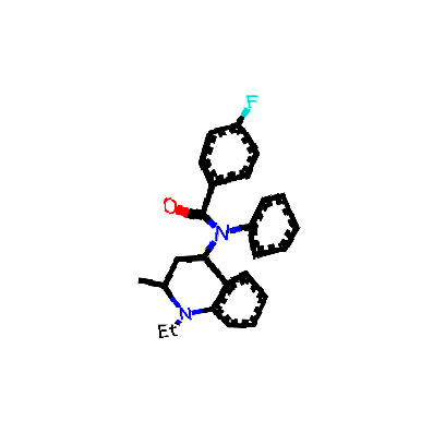 CCN1c2ccccc2C(N(C(=O)c2ccc(F)cc2)c2ccccc2)CC1C